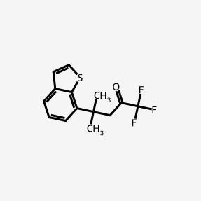 CC(C)(CC(=O)C(F)(F)F)c1cccc2ccsc12